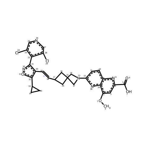 COc1cc(C(=O)O)nc2ccc(N3CC4(CC(/C=C/c5c(-c6c(Cl)cncc6Cl)noc5C5CC5)C4)C3)nc12